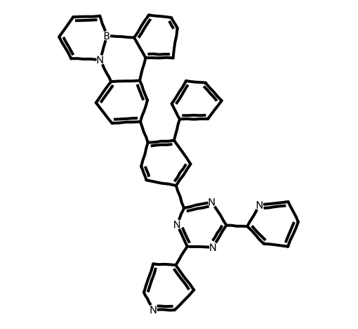 C1=CB2c3ccccc3-c3cc(-c4ccc(-c5nc(-c6ccncc6)nc(-c6ccccn6)n5)cc4-c4ccccc4)ccc3N2C=C1